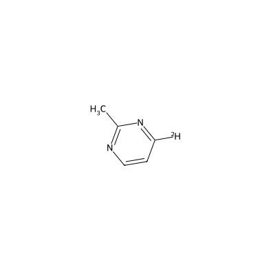 [2H]c1ccnc(C)n1